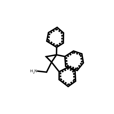 NCC1(c2ccccc2)CC1(c1ccccc1)c1ccccc1